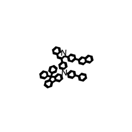 C1=CCC(C2(c3ccccc3)c3ccccc3-c3ccc(N(c4ccc(-c5ccccc5)cc4)c4ccc(-c5cc6ccccc6nc5-c5ccc(-c6ccc7ccccc7c6)cc5)cc4)cc32)C=C1